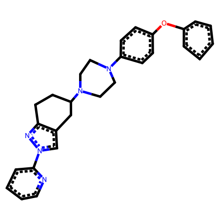 c1ccc(Oc2ccc(N3CCN(C4CCc5nn(-c6ccccn6)cc5C4)CC3)cc2)cc1